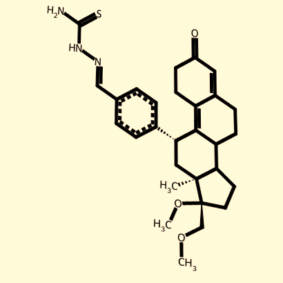 COC[C@]1(OC)CCC2C3CCC4=CC(=O)CCC4=C3[C@@H](c3ccc(C=NNC(N)=S)cc3)C[C@@]21C